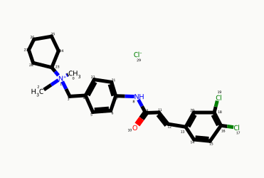 C[N+](C)(Cc1ccc(NC(=O)C=Cc2ccc(Cl)c(Cl)c2)cc1)C1CCCCC1.[Cl-]